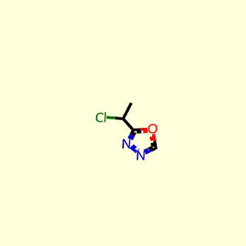 CC(Cl)c1nnco1